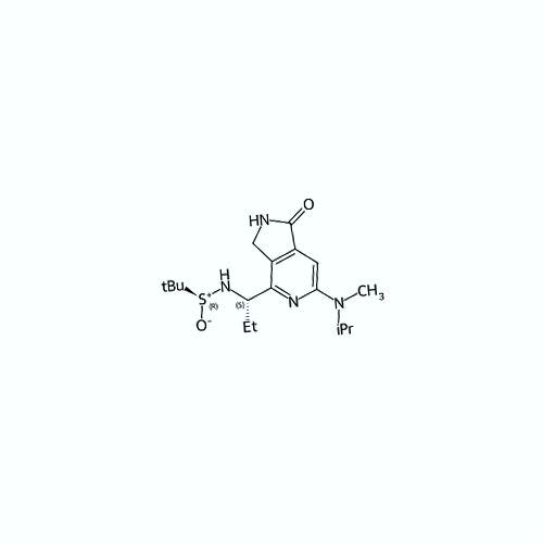 CC[C@H](N[S@@+]([O-])C(C)(C)C)c1nc(N(C)C(C)C)cc2c1CNC2=O